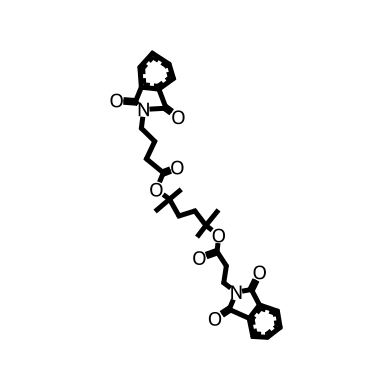 CC(C)(CCC(C)(C)OC(=O)CCN1C(=O)c2ccccc2C1=O)OC(=O)CCCN1C(=O)c2ccccc2C1=O